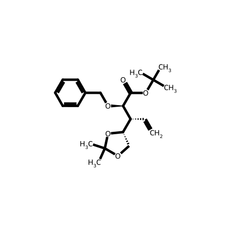 C=C[C@H]([C@@H]1COC(C)(C)O1)[C@@H](OCc1ccccc1)C(=O)OC(C)(C)C